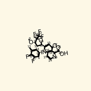 CO[C@H]1[C@@H](c2ccc(F)c(F)c2C)[C@H](c2cc(=O)c3c(C(=O)O)nccc3[nH]2)O[C@@]1(C)C(F)(F)F